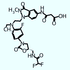 CCN(CCn1c2ccc(NC(=O)CC(=O)O)cc2c(=O)n1C)c1ccc(N2C[C@H](CNC(=O)C(F)F)OC2=O)cc1F